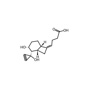 O=C(O)CC/C=C1/C[C@@H]2[C@H](C3(O)C#C3)[C@H](O)CC[C@H]12